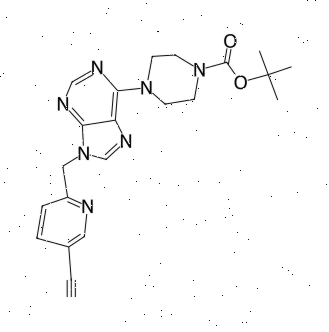 C#Cc1ccc(Cn2cnc3c(N4CCN(C(=O)OC(C)(C)C)CC4)ncnc32)nc1